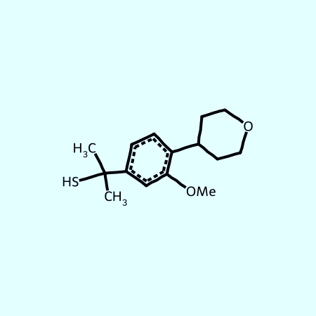 COc1cc(C(C)(C)S)ccc1C1CCOCC1